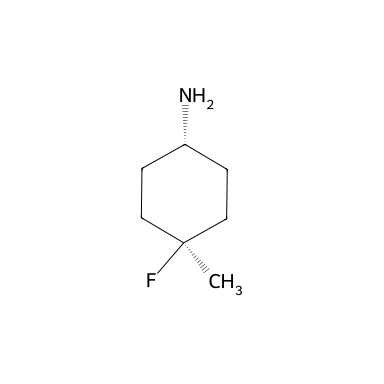 C[C@]1(F)CC[C@H](N)CC1